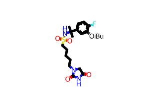 CC(C)COc1cc(C(C)(C)NS(=O)(=O)CCCCCN2CC(=O)NC2=O)ccc1F